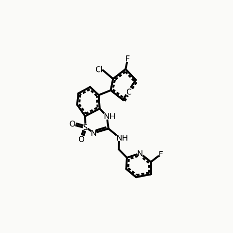 O=S1(=O)N=C(NCc2cccc(F)n2)Nc2c(-c3cccc(F)c3Cl)cccc21